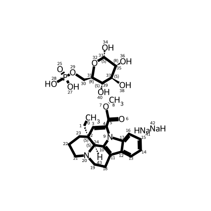 CC[C@@]12C=C(C(=O)OC)n3c4c(c5ccccc53)CCN(CCC1)[C@H]42.O=P(O)(O)OC[C@H]1O[C@H](O)[C@H](O)[C@@H](O)[C@@H]1O.[NaH].[NaH]